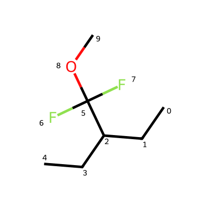 CCC(CC)C(F)(F)OC